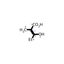 CC/C(O)=C(\C)C(=O)O